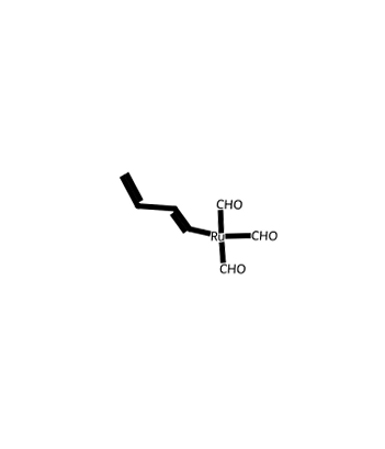 C=CC=[CH][Ru]([CH]=O)([CH]=O)[CH]=O